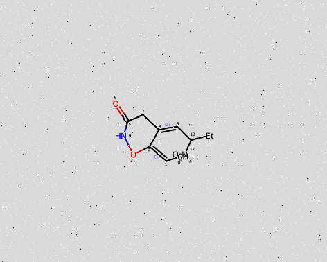 C/C=C1/ONC(=O)C/C1=C/C(CC)[N+](=O)[O-]